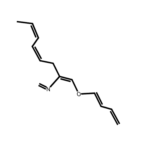 C=C/C=C/O/C=C(/C/C=C\C=C/C)N=C